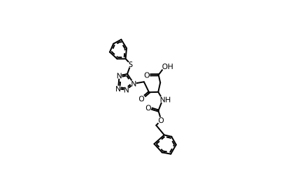 O=C(O)CC(NC(=O)OCc1ccccc1)C(=O)Cn1nnnc1Sc1ccccc1